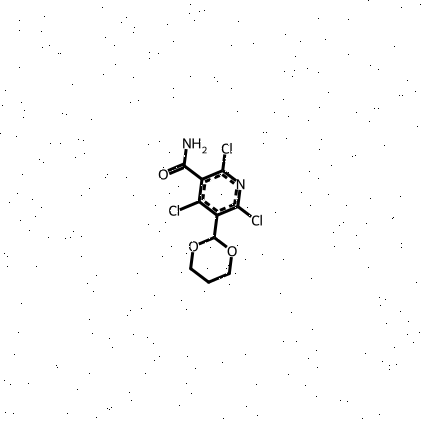 NC(=O)c1c(Cl)nc(Cl)c(C2OCCCO2)c1Cl